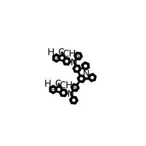 CC1(C)c2ccccc2-c2ccc(N(c3ccccc3)c3ccc(-c4cc(-c5ccc(N(c6ccccc6)c6ccc7c(c6)C(C)(C)c6ccccc6-7)cc5)c5c(c4)c4ccccc4n5-c4ccccc4)cc3)cc21